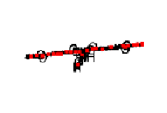 CCCCCCCCOC(=O)CCCCCCCCCCCCCCCCC(=O)OCCCC(CCCOC(=O)CCCCCCCCCCCCCCCCC(=O)OCCCCCCCC)OC(=O)NCCOCCN(C)C